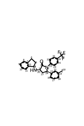 O=C1[C@H](N[C@H]2CCc3ccccc32)C[C@H](c2cccc(I)c2)N1c1ccc(C(F)(F)F)cc1